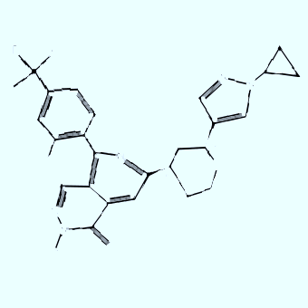 Cn1ncc2c(-c3ccc(C(F)(F)F)cc3F)nc([C@@H]3CCO[C@H](c4cnn(C5CC5)c4)C3)cc2c1=O